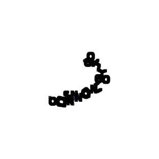 CCN(CCOC(=O)C(C)CCC(C)(C)C(=O)OC)c1ccc(/N=N/c2sc3cc(OC)ccc3[n+]2C)cc1